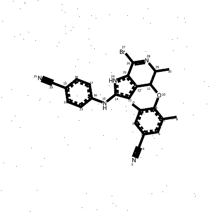 Cc1cc(C#N)cc(C)c1OC1c2cc(Nc3ccc(C#N)cc3)[nH]c2C(Br)=NC1C